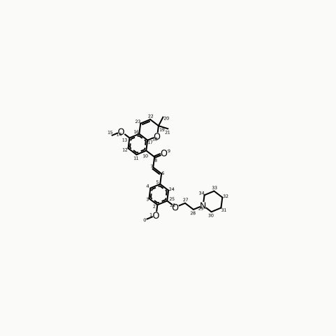 COc1ccc(C=CC(=O)c2ccc(OC)c3c2OC(C)(C)C=C3)cc1OCCN1CCCCC1